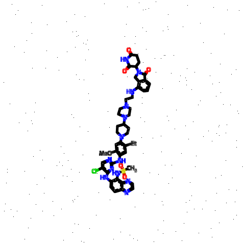 CCc1cc(Nc2ncc(Cl)c(Nc3ccc4nccnc4c3NS(C)(=O)=O)n2)c(OC)cc1N1CCC(N2CCN(CCNc3cccc4c3CN(C3CCC(=O)NC3=O)C4=O)CC2)CC1